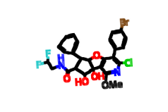 COc1nc(Cl)c(-c2ccc(Br)cc2)c2c1C1(O)C(O)C(C(=O)NCC(F)F)C(c3ccccc3)C1O2